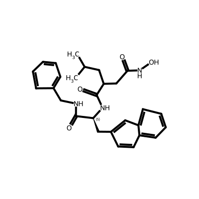 CC(C)CC(CC(=O)NO)C(=O)N[C@@H](Cc1ccc2ccccc2c1)C(=O)NCc1ccccc1